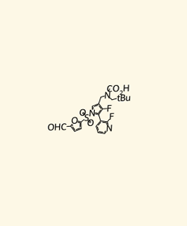 CC(C)(C)CN(Cc1cn(S(=O)(=O)c2ccc(C=O)o2)c(-c2cccnc2F)c1F)C(=O)O